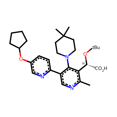 Cc1ncc(-c2ccc(OC3CCCC3)cn2)c(N2CCC(C)(C)CC2)c1[C@H](OC(C)(C)C)C(=O)O